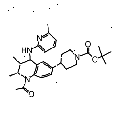 CC(=O)N1c2ccc(C3CCN(C(=O)OC(C)(C)C)CC3)cc2C(Nc2cccc(C)n2)C(C)[C@@H]1C